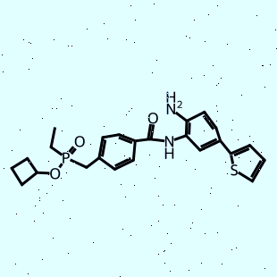 CCP(=O)(Cc1ccc(C(=O)Nc2cc(-c3cccs3)ccc2N)cc1)OC1CCC1